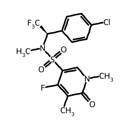 Cc1c(F)c(S(=O)(=O)N(C)[C@H](c2ccc(Cl)cc2)C(F)(F)F)cn(C)c1=O